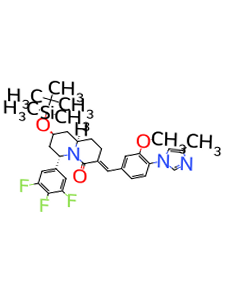 COc1cc(C=C2CC[C@@H]3C[C@H](O[Si](C)(C)C(C)(C)C)C[C@@H](c4cc(F)c(F)c(F)c4)N3C2=O)ccc1-n1cnc(C)c1